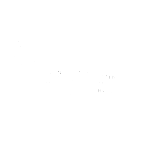 Nc1ccccc1NC(=O)c1ccc2c(c1)CCC2NC(=O)OCc1ccc(F)cc1